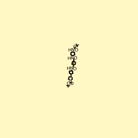 CC(C)(C)OC(=O)Nc1ccc(NC(=O)C23CCC(C(=O)Nc4ccc(C5=CCN(C(=O)OC(C)(C)C)CC5)cc4)(CC2)CC3)cc1